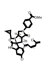 C=C(Cl)/C=C\C=C(/F)[C@H]1[C@@H]2C(=O)N(c3ccc(C(=O)OC)cc3)C[C@@H]2N(CC2CC2)[C@@]12C(=O)Nc1cc(Cl)ccc12